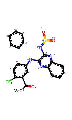 COC(=O)c1cc(Nc2nc3ccccc3nc2N=S(=O)=O)ccc1Cl.c1ccccc1